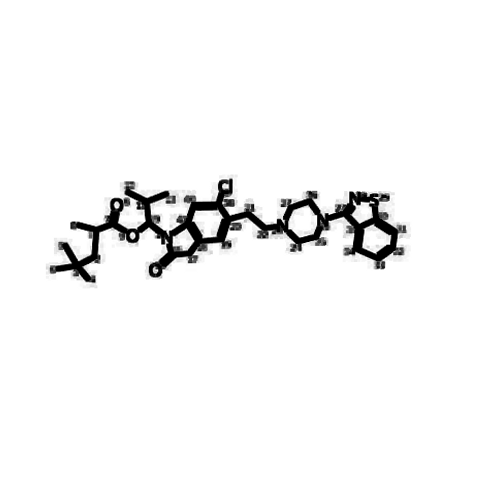 CC(CC(C)(C)C)C(=O)OC(C(C)C)N1C(=O)Cc2cc(CCN3CCN(c4nsc5ccccc45)CC3)c(Cl)cc21